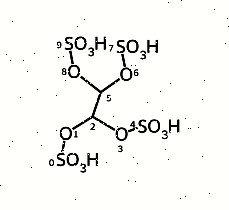 O=S(=O)(O)OC(OS(=O)(=O)O)C(OS(=O)(=O)O)OS(=O)(=O)O